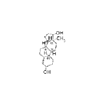 C[C@]12CC[C@H]3[C@@H](CCC4=CC(O)CC[C@@H]43)[C@@H]1CCC2O